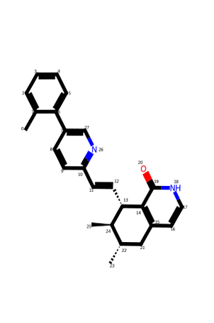 Cc1ccccc1-c1ccc(/C=C/[C@@H]2c3c(cc[nH]c3=O)C[C@H](C)[C@H]2C)nc1